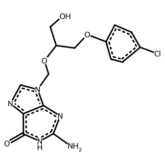 Nc1nc2c(ncn2COC(CO)COc2ccc(Cl)cc2)c(=O)[nH]1